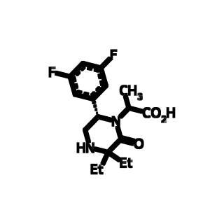 CCC1(CC)NC[C@H](c2cc(F)cc(F)c2)N(C(C)C(=O)O)C1=O